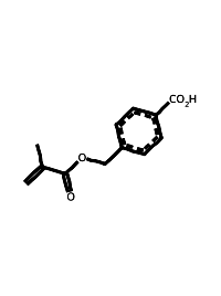 C=C(C)C(=O)OCc1ccc(C(=O)O)cc1